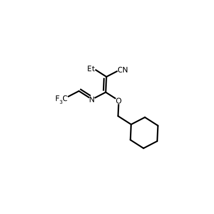 CC/C(C#N)=C(\N=C\C(F)(F)F)OCC1CCCCC1